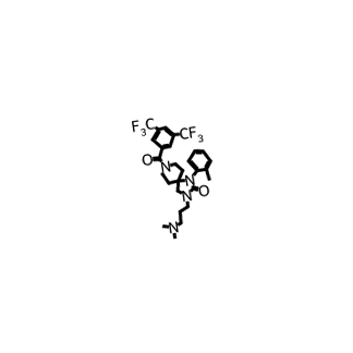 Cc1ccccc1N1C(=O)N(CCCN(C)C)CC12CCN(C(=O)c1cc(C(F)(F)F)cc(C(F)(F)F)c1)CC2